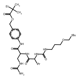 CCC(C)(C)C(=O)OCc1ccc(NC(=O)C(CNC(N)=O)NC(=O)C(NC(=O)NCCCOCC(C)(C)C)C(C)C)cc1